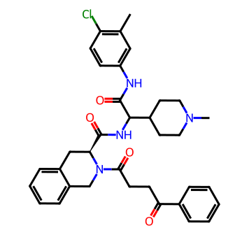 Cc1cc(NC(=O)C(NC(=O)[C@@H]2Cc3ccccc3CN2C(=O)CCC(=O)c2ccccc2)C2CCN(C)CC2)ccc1Cl